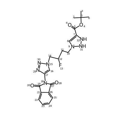 CC(C)(C)OC(=O)C1=CN(CCC(F)Cn2cc(N3C(=O)c4ccccc4C3=O)nn2)NN1